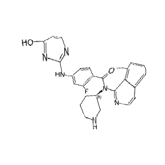 Cc1cccc2ccnc(N(C(=O)c3ccc(Nc4nccc(O)n4)cc3F)[C@@H]3CCCNC3)c12